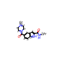 CCCNC(=O)c1cc2cc(C(=O)N3CCN(CC)CC3)ccc2[nH]1